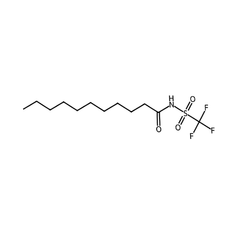 CCCCCCCCCCC(=O)NS(=O)(=O)C(F)(F)F